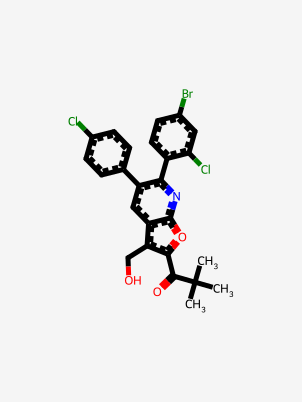 CC(C)(C)C(=O)c1oc2nc(-c3ccc(Br)cc3Cl)c(-c3ccc(Cl)cc3)cc2c1CO